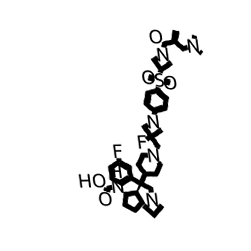 C=C(CN(C)C)C(=O)N1CC(S(=O)(=O)c2ccc(N3CC(F)(CN4CCC(C(CN5CCC5)(c5cccc(F)c5)[C@H]5CCC[C@@H]5NC(=O)O)CC4)C3)cc2)C1